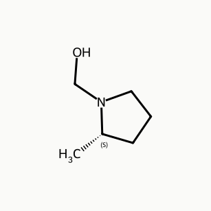 C[C@H]1CCCN1CO